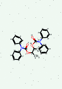 CC(OC(=O)N(c1ccccc1)c1ccccc1)C(C)OC(=O)N(c1ccccc1)c1ccccc1